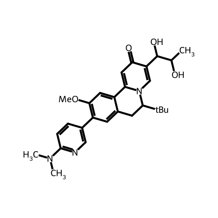 COc1cc2c(cc1-c1ccc(N(C)C)nc1)CC(C(C)(C)C)n1cc(C(O)C(C)O)c(=O)cc1-2